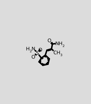 C/C(=C\c1ccccc1S(N)(=O)=O)C(N)=O